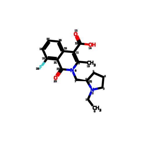 CCN1CCC[C@@H]1Cn1c(C)c(C(=O)O)c2cccc(F)c2c1=O